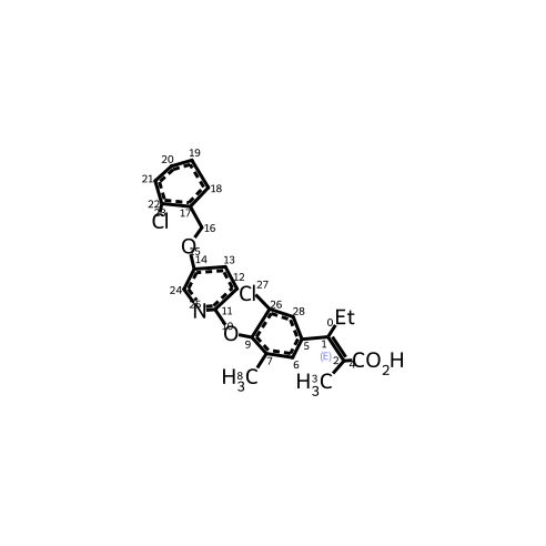 CC/C(=C(/C)C(=O)O)c1cc(C)c(Oc2ccc(OCc3ccccc3Cl)cn2)c(Cl)c1